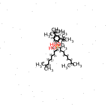 CC(C)CCCCCCCP(O)(O)(CCCCCCCC(C)C)Oc1ccc(C(C)(C)C)cc1C(C)(C)C